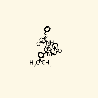 CN(C)c1cccc(C(=O)N[C@H]2CCC(=O)N3CCC[C@@H](C(=O)N[C@H]4CC(=O)OC4OCc4ccccc4)N3C2=O)c1